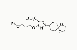 CCOCCCOc1nn(C2CCC3(CC2)OCCO3)cc1C(=O)OCC